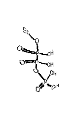 CCOP(=O)(O)P(=O)(O)OP(=O)(O)O